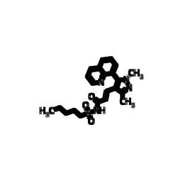 CCCCCS(=O)(=O)NC(=O)C=Cc1c(C)nn(C)c1-c1cccc2cccnc12